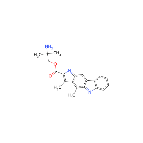 CC1=C(C(=O)OCC(C)(C)N)N=c2cc3c(c(C)c21)=Nc1ccccc1-3